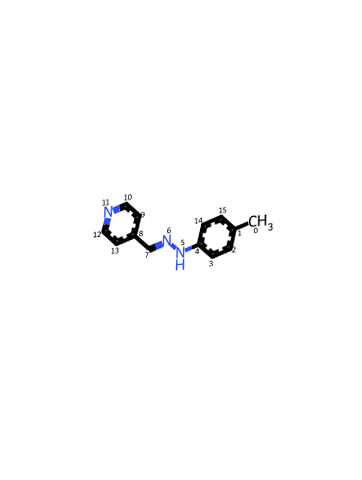 Cc1ccc(NN=Cc2ccncc2)cc1